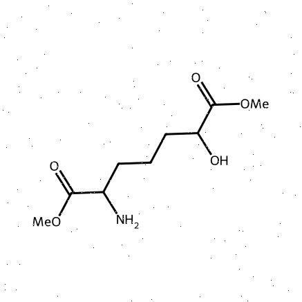 COC(=O)C(N)CCCC(O)C(=O)OC